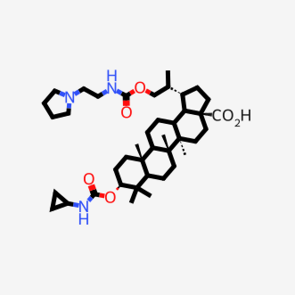 CC(COC(=O)NCCN1CCCC1)[C@@H]1CC[C@]2(C(=O)O)CC[C@]3(C)C(CCC4[C@@]5(C)CC[C@@H](OC(=O)NC6CC6)C(C)(C)C5CC[C@]43C)C12